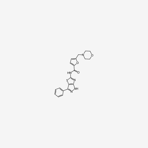 O=C(Nc1nc2[nH]nc(-c3ccccc3)c2s1)c1ccc(CN2CCOCC2)o1